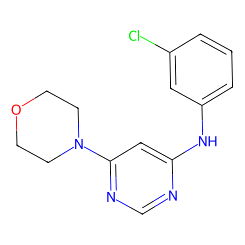 Clc1cccc(Nc2cc(N3CCOCC3)ncn2)c1